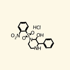 Cl.O=[N+]([O-])c1ccccc1S(=O)(=O)N1CCNC(c2ccccc2)C1O